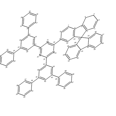 C1=CC2=C(CC1)c1ccc(-c3nc(-c4cc(-c5ccccc5)cc(-c5ccccc5)c4)nc(-c4cc(-c5ccccc5)cc(-c5ccccc5)c4)n3)cc1C21c2ccccc2-c2ccccc21